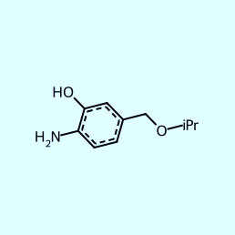 CC(C)OCc1ccc(N)c(O)c1